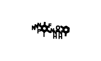 Cc1cccc(C)c1NC(=O)N/N=C/c1c(F)c(C)c(N=[N+]=[N-])c(F)c1I